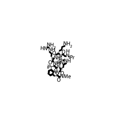 CNC(=O)[C@H](Cc1ccccc1)NC(=O)[C@H](Cc1c[nH]cn1)NC(=O)[C@@H](NC(=O)[C@H](CCCNC(=N)N)NC(=O)[C@H](CCCCN)NC(=O)CNC(C)C)C(C)C